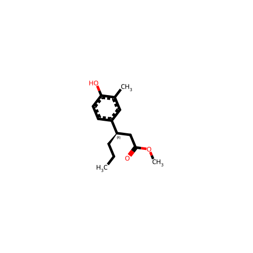 CCC[C@H](CC(=O)OC)c1ccc(O)c(C)c1